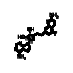 Nc1ccc2c(F)cc(CCC3=C[C@@H](n4ccc5c(N)ncnc54)[C@H](O)[C@@H]3O)cc2n1